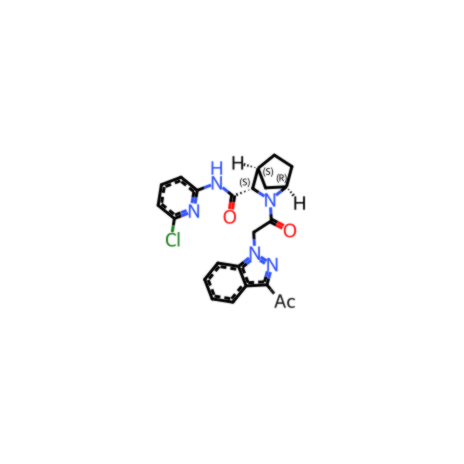 CC(=O)c1nn(CC(=O)N2[C@@H]3CC[C@@H](C3)[C@H]2C(=O)Nc2cccc(Cl)n2)c2ccccc12